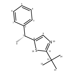 C[C@H](c1ccccc1)c1cnc(C(C)(C)C)s1